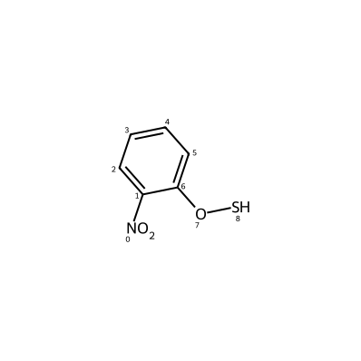 O=[N+]([O-])c1ccccc1OS